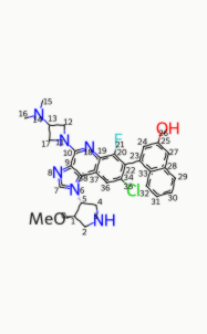 CO[C@@H]1CNC[C@H]1n1cnc2c(N3CC(N(C)C)C3)nc3c(F)c(-c4cc(O)cc5ccccc45)c(Cl)cc3c21